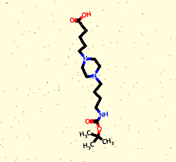 CC(C)(C)OC(=O)NCCCCN1CCN(CCCCC(=O)O)CC1